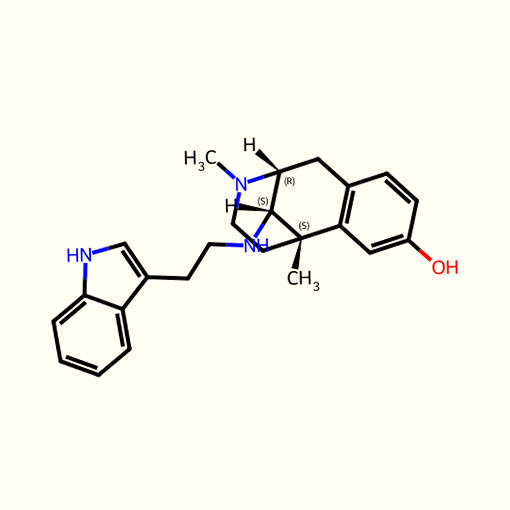 CN1CC[C@@]2(C)c3cc(O)ccc3C[C@@H]1[C@H]2NCCc1c[nH]c2ccccc12